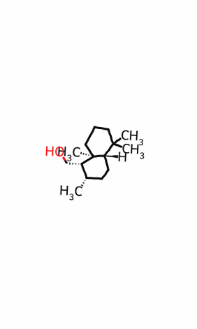 C[C@H]1CC[C@H]2C(C)(C)CCC[C@]2(C)[C@H]1CO